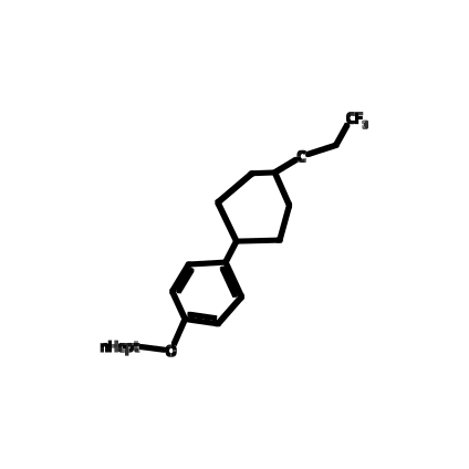 CCCCCCCOc1ccc(C2CCC(CCC(F)(F)F)CC2)cc1